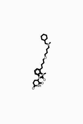 CN(CCCCOCCCCc1cccc2c1n(C)c(=O)n2C1CCC(=O)NC1=O)CC1CCCCC1